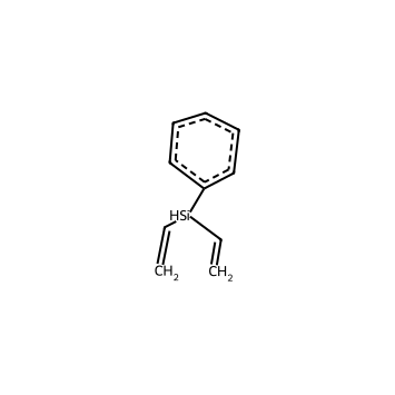 C=C[SiH](C=C)c1ccccc1